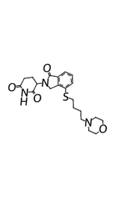 O=C1CCC(N2Cc3c(SCCCCN4CCOCC4)cccc3C2=O)C(=O)N1